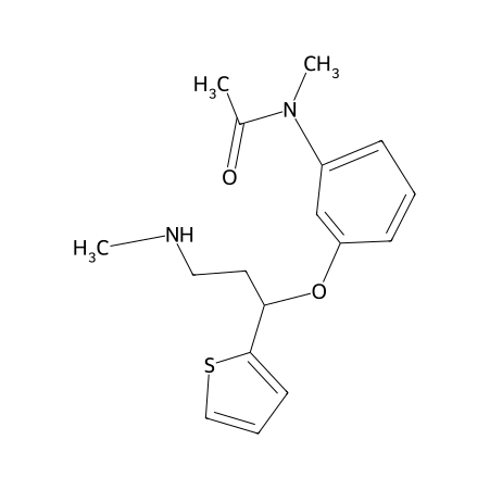 CNCCC(Oc1cccc(N(C)C(C)=O)c1)c1cccs1